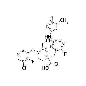 CC[C@H]1C[C@@](Cc2nc(Nc3cc(C)[nH]n3)cnc2F)(C(=O)O)CCN1Cc1cccc(Cl)c1F